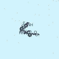 CCOC(=O)CCc1cccc2c1OCC[C@@]2(C)c1c[nH]c(-c2cc(Oc3c(F)cc4[nH]ccc4c3F)ccc2F)n1